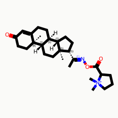 C/C(=N\OC(=O)C1CCC[N+]1(C)C)[C@H]1CC[C@H]2[C@@H]3CCC4=CC(=O)CC[C@]4(C)[C@H]3CC[C@]12C